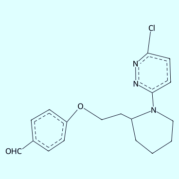 O=Cc1ccc(OCCC2CCCCN2c2ccc(Cl)nn2)cc1